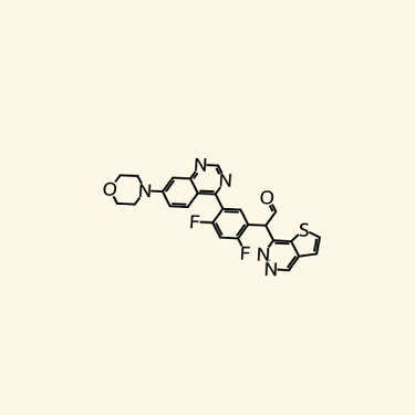 O=CC(c1cc(-c2ncnc3cc(N4CCOCC4)ccc23)c(F)cc1F)c1nncc2ccsc12